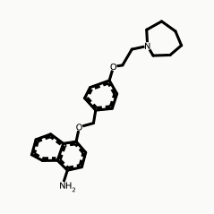 Nc1ccc(OCc2ccc(OCCN3CCCCCC3)cc2)c2ccccc12